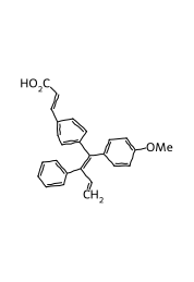 C=CC(=C(c1ccc(C=CC(=O)O)cc1)c1ccc(OC)cc1)c1ccccc1